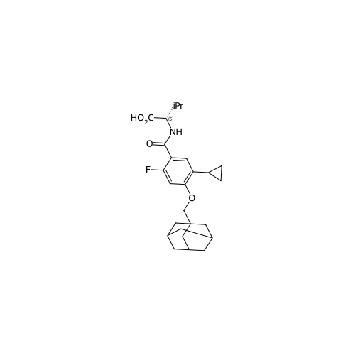 CC(C)[C@H](NC(=O)c1cc(C2CC2)c(OCC23CC4CC(CC(C4)C2)C3)cc1F)C(=O)O